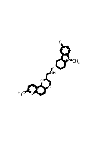 Cc1ccc2c3c(ccc2n1)OC[C@H](CNC[C@H]1CCc2c(c4cc(F)ccc4n2C)C1)O3